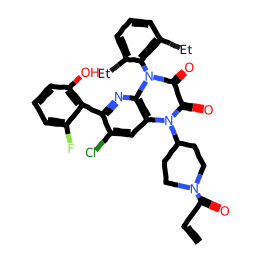 C=CC(=O)N1CCC(n2c(=O)c(=O)n(-c3c(CC)cccc3CC)c3nc(-c4c(O)cccc4F)c(Cl)cc32)CC1